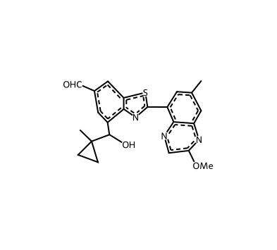 COc1cnc2c(-c3nc4c(C(O)C5(C)CC5)cc(C=O)cc4s3)cc(C)cc2n1